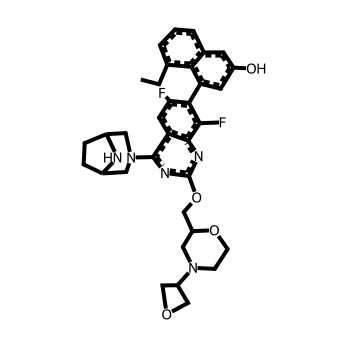 CCc1cccc2cc(O)cc(-c3c(F)cc4c(N5CC6CCC(C5)N6)nc(OCC5CN(C6COC6)CCO5)nc4c3F)c12